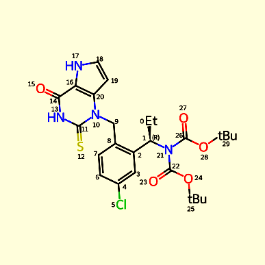 CC[C@H](c1cc(Cl)ccc1Cn1c(=S)[nH]c(=O)c2[nH]ccc21)N(C(=O)OC(C)(C)C)C(=O)OC(C)(C)C